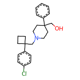 OCC1(c2ccccc2)CCN(CC2(c3ccc(Cl)cc3)CCC2)CC1